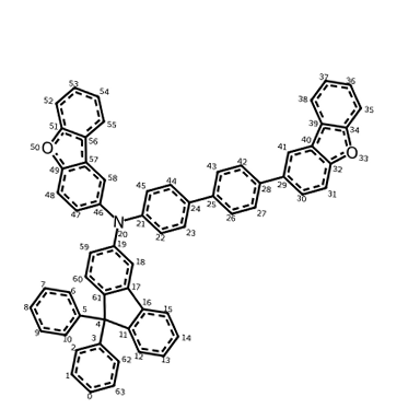 c1ccc(C2(c3ccccc3)c3ccccc3-c3cc(N(c4ccc(-c5ccc(-c6ccc7oc8ccccc8c7c6)cc5)cc4)c4ccc5oc6ccccc6c5c4)ccc32)cc1